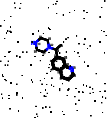 CC(c1ccc2cccnc2c1)N1CCNCC1